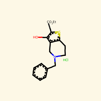 CCOC(=O)c1sc2c(c1O)CN(Cc1ccccc1)CC2.Cl